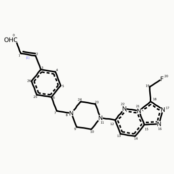 O=C/C=C/c1ccc(CN2CCN(c3ccc4nnc(CF)n4n3)CC2)cc1